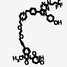 Cn1c(=O)n([C@H]2CCC(=O)NC2=O)c2ccc(C#CCOCCOCCN3CCN(Cc4ccc(-c5cn([C@H]6CC[C@H](O)CC6)c6nc(NCCC(F)(F)F)ncc56)cc4)CC3)cc21